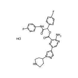 Cl.Nc1ncc(-c2cnn(C3CCNCC3)c2)nc1C(=O)OC(C(=O)Nc1ccc(F)cc1)c1ccc(F)cc1